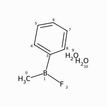 CB(F)c1ccccc1.O.O